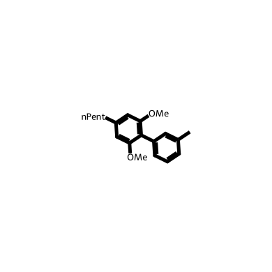 CCCCCc1cc(OC)c(-c2cccc(C)c2)c(OC)c1